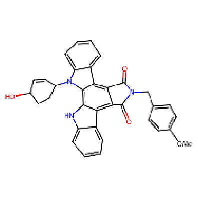 COc1ccc(CN2C(=O)c3c(c4c5ccccc5n(C5C=C[C@H](O)CC5)c4c4[nH]c5ccccc5c34)C2=O)cc1